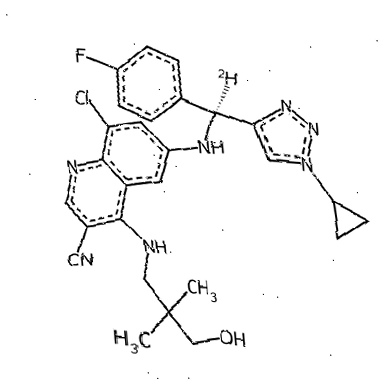 [2H][C@](Nc1cc(Cl)c2ncc(C#N)c(NCC(C)(C)CO)c2c1)(c1ccc(F)cc1)c1cn(C2CC2)nn1